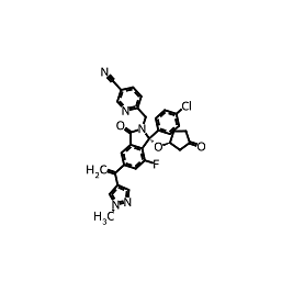 C=C(c1cc(F)c2c(c1)C(=O)N(Cc1ccc(C#N)cn1)[C@@]2(O[C@H]1CCC(=O)C1)c1ccc(Cl)cc1)c1cnn(C)c1